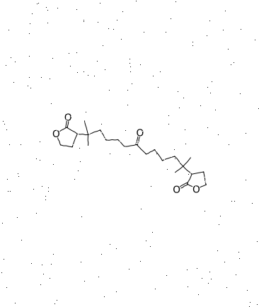 CC(C)(CCCCC(=O)CCCCC(C)(C)C1CCOC1=O)C1CCOC1=O